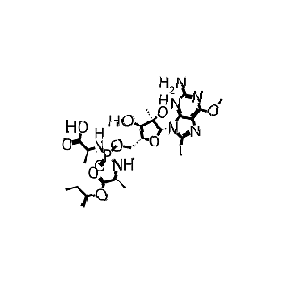 CCC(C)OC(=O)[C@H](C)NP(=O)(N[C@@H](C)C(=O)O)OC[C@H]1O[C@@H](n2c(I)nc3c(OC)nc(N)nc32)[C@](C)(O)[C@@H]1O